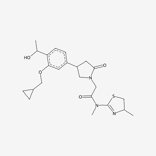 CC1CSC(N(C)C(=O)CN2CC(c3ccc(C(C)O)c(OCC4CC4)c3)CC2=O)=N1